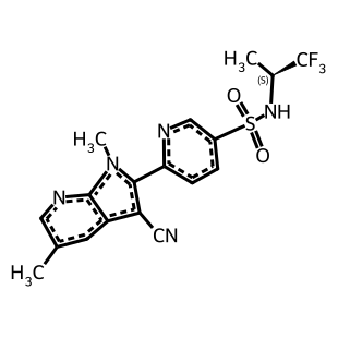 Cc1cnc2c(c1)c(C#N)c(-c1ccc(S(=O)(=O)N[C@@H](C)C(F)(F)F)cn1)n2C